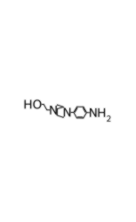 Nc1ccc(N2CC3CC2CN3CCO)cc1